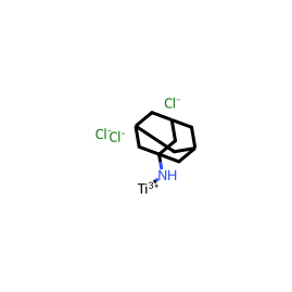 [Cl-].[Cl-].[Cl-].[Ti+3][NH]C12CC3CC(CC(C3)C1)C2